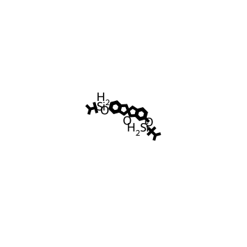 CC(C)C(C)(C)[SiH2]Oc1ccc2c(c1)CC1(C2)Cc2ccc(O[SiH2]C(C)(C)C(C)C)cc2C1=O